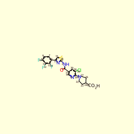 O=C(Nc1nc(-c2ccc(F)c(F)c2F)cs1)c1cnc(N2CCC(C(=O)O)CC2)c(Cl)c1